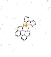 c1ccc([PH]2(c3ccccc3)Cc3ccc4ccccc4c3-c3c(ccc4ccccc34)C2)cc1